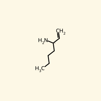 C=C[C](N)CCCC